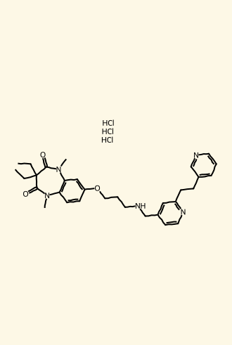 CCC1(CC)C(=O)N(C)c2ccc(OCCCNCc3ccnc(CCc4cccnc4)c3)cc2N(C)C1=O.Cl.Cl.Cl